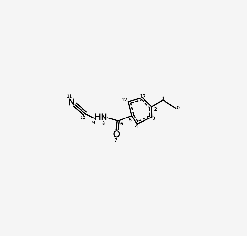 CCc1ccc(C(=O)NCC#N)cc1